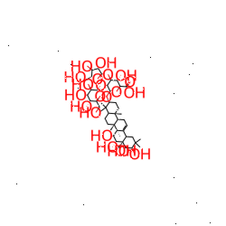 CC1(C)CC2C3=CCC4[C@@]5(C)CC[C@H](O[C@@H]6OC(C(=O)O)[C@@H](O)C(OC7O[C@@H](CO)C(O)C7O)C6O[C@@H]6OC(CO)[C@H](O)C(O)C6O)C(C)(C)C5CC[C@@]4(C)[C@]3(C)[C@@H](O)[C@@H](O)[C@@]2(CO)[C@@H](O)[C@@H]1O